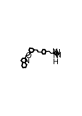 C(=Cc1cccc(OCc2ccc3ccccc3n2)c1)c1ccc(CCc2nnn[nH]2)cc1